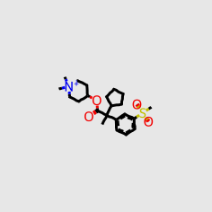 CC(C(=O)OC1CC[N+](C)(C)CC1)(c1cccc(S(C)(=O)=O)c1)C1CCCC1